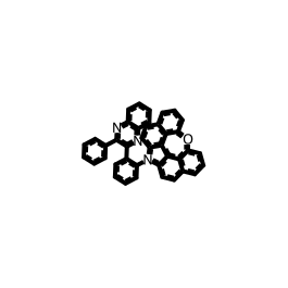 c1ccc(-c2nc3ccccc3nc2-c2ccccc2-n2c3ccc4cccc5oc6cccc7ccc2c(c76)c3c45)cc1